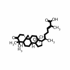 C/C(=C\CC[C@@H](C)[C@H]1CC[C@@]2(C)[C@@H]3CC[C@H]4C(C)(C)C(=O)CC[C@@]45C[C@@]35CC[C@]12C)C(=O)O